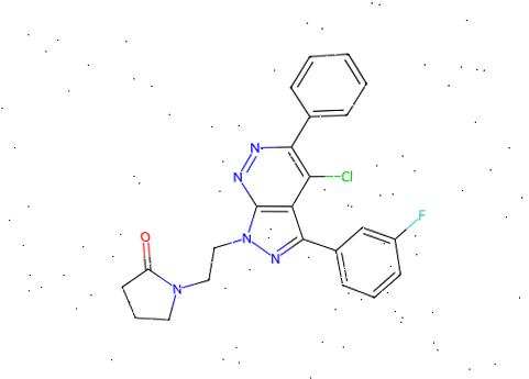 O=C1CCCN1CCn1nc(-c2cccc(F)c2)c2c(Cl)c(-c3ccccc3)nnc21